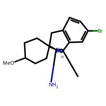 COC1CCC2(CC1)Cc1ccc(Br)cc1[C@]21N=C(C)C(N)=N1